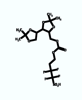 CC1(C)OCC(C2OC(C)(C)OC2COC(=O)OCCC(F)(F)C(F)(F)S(=O)(=O)O)O1